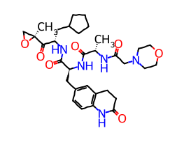 C[C@H](NC(=O)CN1CCOCC1)C(=O)N[C@@H](Cc1ccc2c(c1)CCC(=O)N2)C(=O)N[C@@H](CC1CCCC1)C(=O)[C@]1(C)CO1